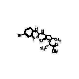 CC1C[C@H](NC(=O)Nc2ccc(Br)cc2F)C(=O)N1[C@@H](C)C(=O)O